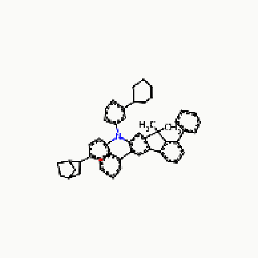 CC1(C)c2cc(N(c3ccc(C4CC5CCC4C5)cc3)c3cccc(C4CCCCC4)c3)c(-c3ccccc3)cc2-c2cccc(-c3ccccc3)c21